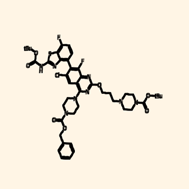 CC(C)(C)OC(=O)Nc1nc2c(-c3c(Cl)cc4c(N5CCN(C(=O)OCc6ccccc6)CC5)nc(OCCCN5CCN(C(=O)OC(C)(C)C)CC5)nc4c3F)ccc(F)c2s1